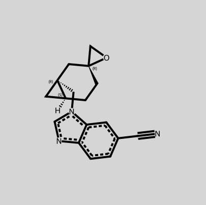 N#Cc1ccc2ncn(C[C@@]34C[C@@H]3CC[C@]3(CO3)C4)c2c1